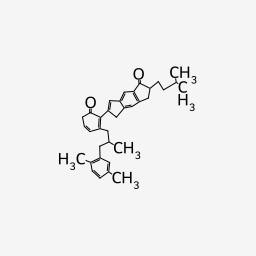 Cc1ccc(C)c(CC(C)CC2=C(C3=Cc4cc5c(cc4C3)CC(CCC(C)C)C5=O)C(=O)CC=C2)c1